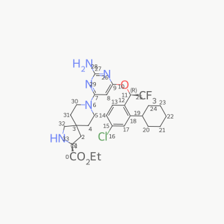 CCOC(=O)[C@@H]1CC2(CCN(c3cc(O[C@H](c4ccc(Cl)cc4C4CCCCC4)C(F)(F)F)nc(N)n3)CC2)CN1